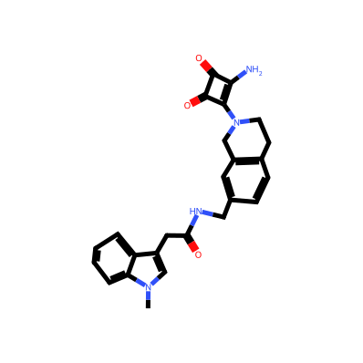 Cn1cc(CC(=O)NCc2ccc3c(c2)CN(c2c(N)c(=O)c2=O)CC3)c2ccccc21